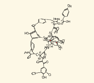 CN1C(=O)[C@@H](c2cc(Cl)c(O)c(Cl)c2)NC(=O)[C@@H]2NC(=O)[C@@H](c3cc(Cl)c(O)c(Cl)c3)NC(=O)[C@H](NC(=O)C(=O)c3cc(Cl)c(O)c(Cl)c3)CC3C(=O)Nc4cc(ccc43)-c3cc2cc(c3O)Oc2ccc(cc2)C[C@H]1C(=O)N[C@@H](C(=O)O)c1ccc(O)cc1